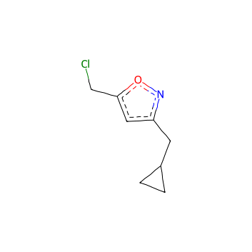 ClCc1cc(CC2CC2)no1